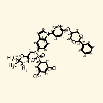 CC(C)(C)OC(=O)CN(c1ccc2c(ccn2-c2ccc(OC3COC(c4ccccc4)OC3)nn2)c1)S(=O)(=O)C1C=C(Cl)C=C(Cl)C1